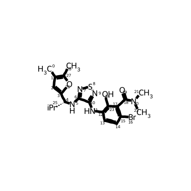 Cc1cc([C@H](Nc2nsnc2Nc2ccc(Br)c(C(=O)N(C)C)c2O)C(C)C)oc1C